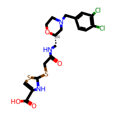 O=C(CSC1NC(C(=O)O)=CS1)NC[C@H]1CN(Cc2ccc(Cl)c(Cl)c2)CCO1